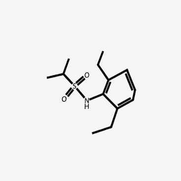 CCc1cccc(CC)c1NS(=O)(=O)C(C)C